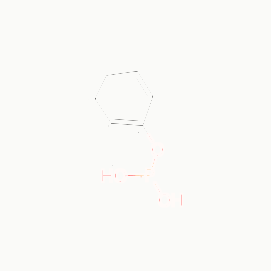 OP(O)OC1=CCCC=C1